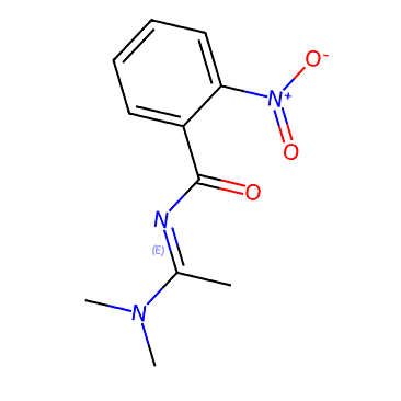 C/C(=N\C(=O)c1ccccc1[N+](=O)[O-])N(C)C